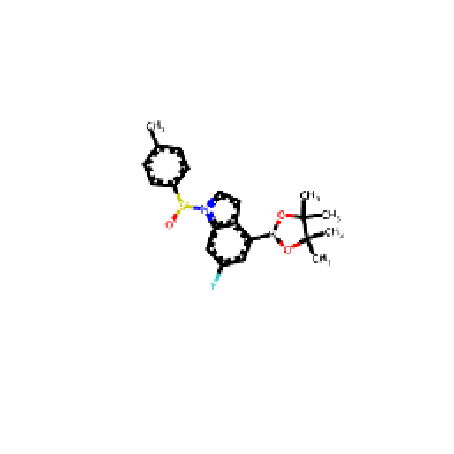 Cc1ccc([S+]([O-])n2ccc3c(B4OC(C)(C)C(C)(C)O4)cc(F)cc32)cc1